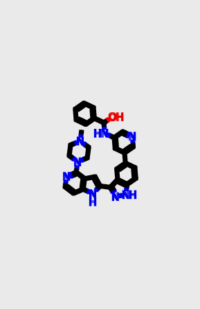 CN1CCN(c2nccc3[nH]c(-c4n[nH]c5ccc(-c6cncc(NC(O)c7ccccc7)c6)cc45)cc23)CC1